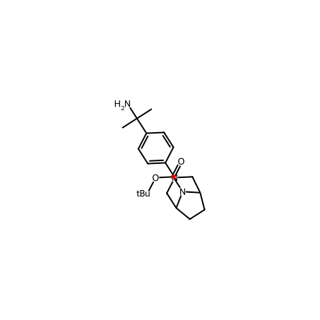 CC(C)(C)OC(=O)N1C2CCC1CN(c1ccc(C(C)(C)N)cc1)C2